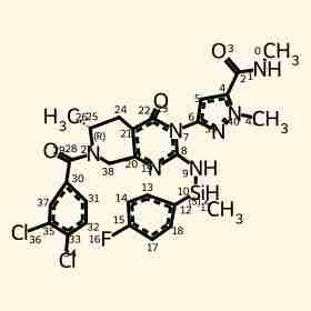 CNC(=O)c1cc(-n2c(N[Si@@H](C)c3ccc(F)cc3)nc3c(c2=O)C[C@@H](C)N(C(=O)c2ccc(Cl)c(Cl)c2)C3)nn1C